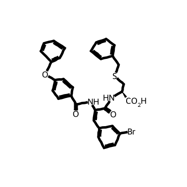 O=C(N[C@@H](CSCc1ccccc1)C(=O)O)/C(=C\c1cccc(Br)c1)NC(=O)c1ccc(Oc2ccccc2)cc1